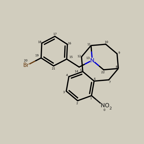 O=[N+]([O-])c1cccc2c1CC1CCC(C2)N(Cc2cccc(Br)c2)C1